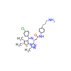 Cc1sc2c(c1C)C(c1ccc(Cl)cc1)=N[C@@H](CC(=O)Nc1ccc(CCCN)cc1)c1nnc(C)n1-2